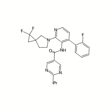 CC(C)c1ncc(C(=O)Nc2c(-c3ccccc3F)ccnc2N2CCC3(C2)CC3(F)F)cn1